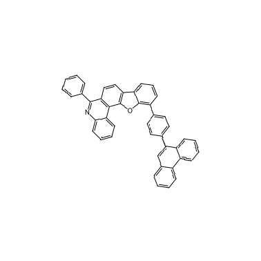 c1ccc(-c2nc3ccccc3c3c2ccc2c4cccc(-c5ccc(-c6cc7ccccc7c7ccccc67)cc5)c4oc23)cc1